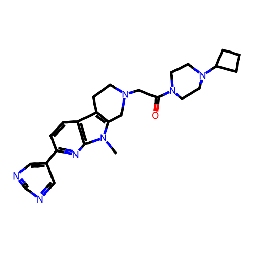 Cn1c2c(c3ccc(-c4cncnc4)nc31)CCN(CC(=O)N1CCN(C3CCC3)CC1)C2